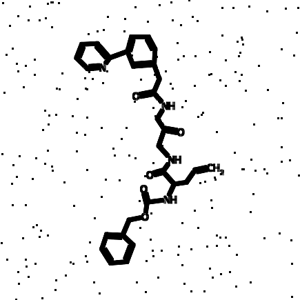 C=CCC(NC(=O)OCc1ccccc1)C(=O)NCC(=O)CNC(=O)Cc1cccc(-c2ccccn2)c1